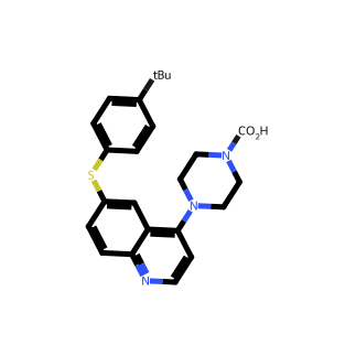 CC(C)(C)c1ccc(Sc2ccc3nccc(N4CCN(C(=O)O)CC4)c3c2)cc1